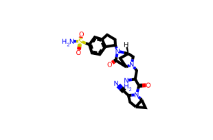 N#CC1CC2CC2N1C(=O)C(N)CN1C[C@@H]2CC1C(=O)N2C1CCc2cc(S(N)(=O)=O)ccc21